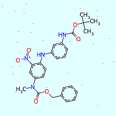 CN(C(=O)OCc1ccccc1)c1ccc(Nc2cccc(NC(=O)OC(C)(C)C)c2)c([N+](=O)[O-])c1